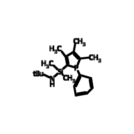 Cc1c(C)c([Si](C)(C)NC(C)(C)C)p(-c2ccccc2)c1C